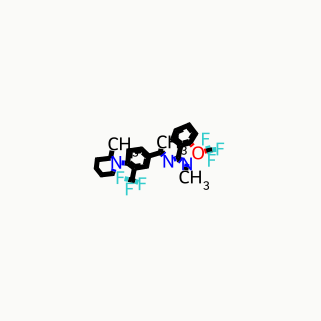 C/N=C(\N=C(/C)c1ccc(N2CCCCC2C)c(C(F)(F)F)c1)c1ccccc1OC(F)(F)F